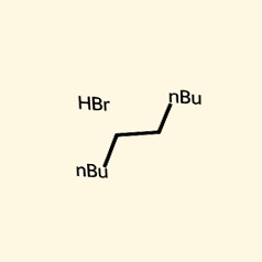 Br.CCCCCCCCCC